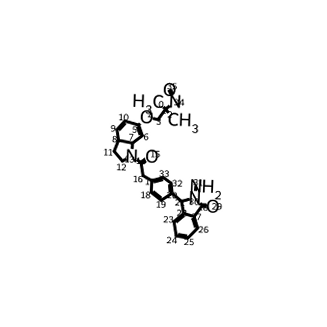 CC(C)(COC1=CC2C(C=C1)CCN2C(=O)Cc1ccc(C2c3ccccc3C(=O)N2N)cc1)N=O